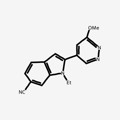 CCn1c(-c2cnnc(OC)c2)cc2ccc(C#N)cc21